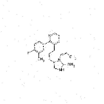 C/C=C\N1C(/C=C\Cc2cccnc2-c2ccc(F)c(C)c2)=CNC1N